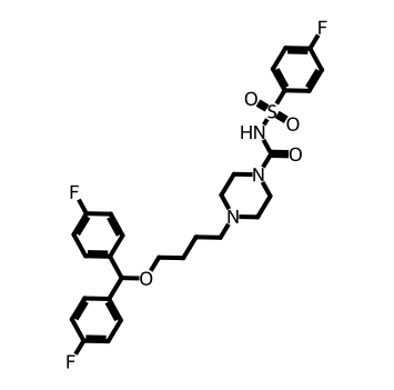 O=C(NS(=O)(=O)c1ccc(F)cc1)N1CCN(CCCCOC(c2ccc(F)cc2)c2ccc(F)cc2)CC1